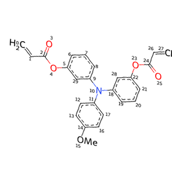 C=CC(=O)Oc1cccc(N(c2ccc(OC)cc2)c2cccc(OC(=O)C=C)c2)c1